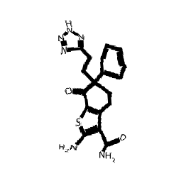 NC(=O)c1c(N)sc2c1CCC(CCc1nn[nH]n1)(c1ccccc1)C2=O